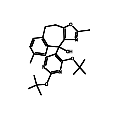 Cc1ccc2c(c1)C(O)(c1cnc(OC(C)(C)C)nc1OC(C)(C)C)c1nc(C)oc1CC2